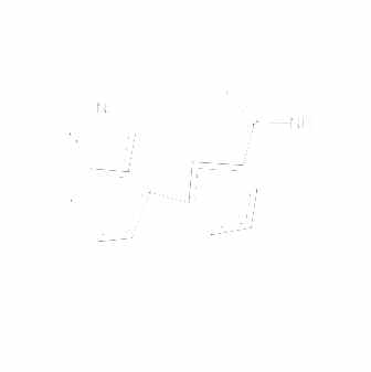 NC(=O)c1cccc(-c2cc(C(F)(F)F)cc3[nH]ncc23)c1